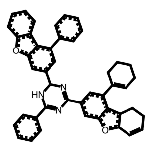 C1=Cc2oc3cc(C4=NC(c5cc(-c6ccccc6)c6c(c5)oc5ccccc56)NC(c5ccccc5)=N4)cc(C4=CCCCC4)c3c2CC1